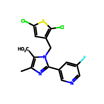 Cc1nc(-c2cncc(F)c2)n(Cc2cc(Cl)sc2Cl)c1C(=O)O